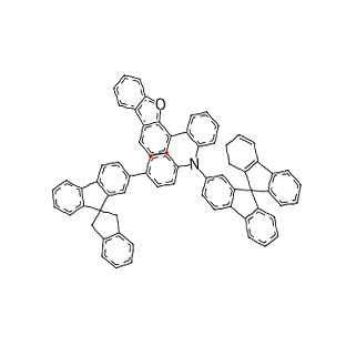 C1=CC2=C(CC1)C1(c3ccccc32)c2ccccc2-c2ccc(N(c3ccc(-c4ccc5c(c4)C4(Cc6ccccc6C4)c4ccccc4-5)cc3)c3ccccc3-c3cccc4c3oc3ccccc34)cc21